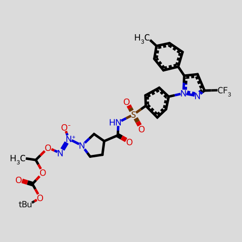 Cc1ccc(-c2cc(C(F)(F)F)nn2-c2ccc(S(=O)(=O)NC(=O)C3CCN(/[N+]([O-])=N/OC(C)OC(=O)OC(C)(C)C)C3)cc2)cc1